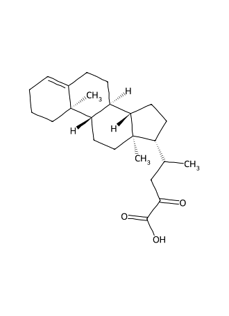 CC(CC(=O)C(=O)O)[C@H]1CC[C@H]2[C@@H]3CCC4=CCCC[C@]4(C)[C@H]3CC[C@]12C